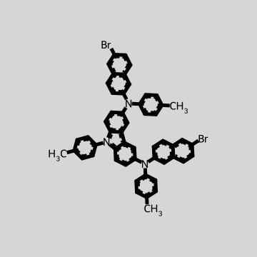 Cc1ccc(N(c2ccc3cc(Br)ccc3c2)c2ccc3c(c2)c2cc(N(c4ccc(C)cc4)c4ccc5cc(Br)ccc5c4)ccc2n3-c2ccc(C)cc2)cc1